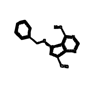 COc1ncnc2c(C=O)cn(OCc3ccccc3)c12